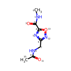 CNC(=O)c1nc(CNC(C)=O)no1